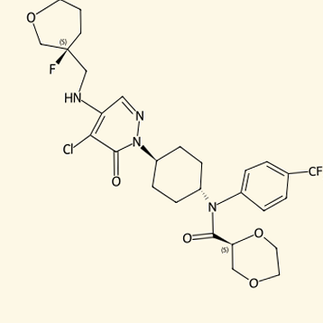 O=C([C@@H]1COCCO1)N(c1ccc(C(F)(F)F)cc1)[C@H]1CC[C@H](n2ncc(NC[C@@]3(F)CCCOC3)c(Cl)c2=O)CC1